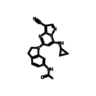 CC(=O)Nc1ccc2c(c1)N(c1cc(NC3CC3)n3ncc(C#N)c3n1)CC2